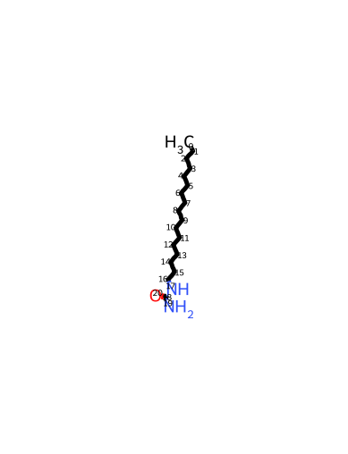 CCCCCCCCCCCCCCCCCNC(N)=O